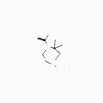 CC1(C)CN(C(=O)O)CCN1C(=O)Cl